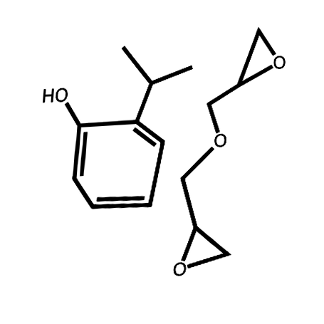 C(OCC1CO1)C1CO1.CC(C)c1ccccc1O